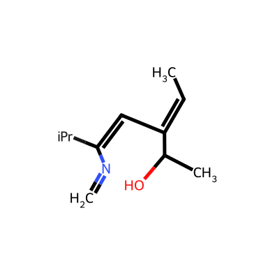 C=N/C(=C\C(=C/C)C(C)O)C(C)C